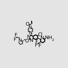 C=CC(=O)N1CCN(c2nc(OC[C@H]3CCCN3CC(F)F)nc3cc(-c4nc(N)ccc4C(F)(F)F)c(Cl)cc23)CC1